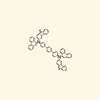 c1ccc2c(c1)cc(N(c1ccc(-c3ccc(-c4ccc(N(c5ccc6sc7ccccc7c6c5)c5cc6ccccc6c6ccccc56)cc4)cc3)cc1)c1ccc3sc4ccccc4c3c1)c1ccccc12